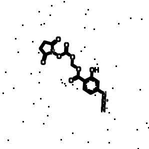 [N-]=[N+]=Nc1ccc(C(=O)OCOC(=O)ON2C(=O)CCC2=O)c(O)c1